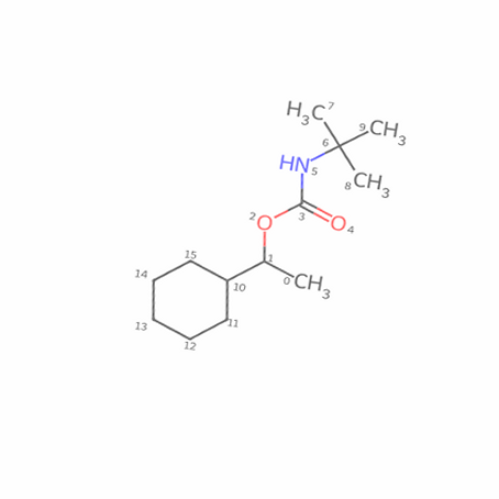 CC(OC(=O)NC(C)(C)C)C1CCCCC1